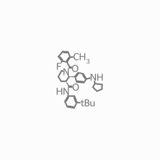 Cc1cccc(F)c1C(=O)N1CCC[C@H](C(=O)Nc2cccc(C(C)(C)C)c2)[C@@H]1c1ccc(NC2CCCC2)cc1